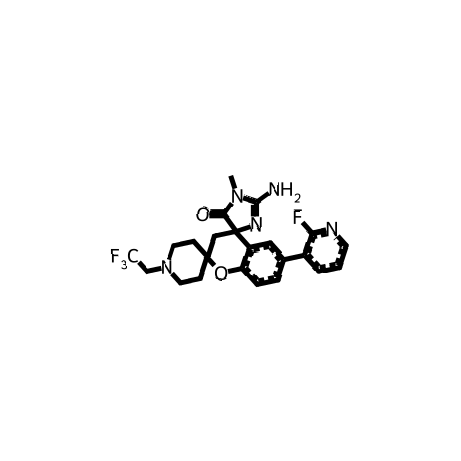 CN1C(=O)C2(CC3(CCN(CC(F)(F)F)CC3)Oc3ccc(-c4cccnc4F)cc32)N=C1N